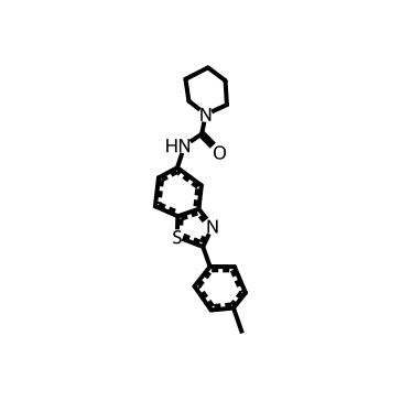 Cc1ccc(-c2nc3cc(NC(=O)N4CCCCC4)ccc3s2)cc1